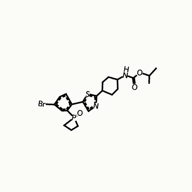 CC(C)OC(=O)NC1CCC(c2ncc(-c3ccc(Br)cc3P3(=O)CCC3)s2)CC1